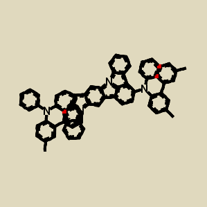 Cc1cccc(-c2cc(C)ccc2N(c2ccccc2)c2ccc3c4cc5c(cc4n4c6ccccc6c2c34)c2ccc(N(c3ccccc3)c3ccc(C)cc3-c3cccc(C)c3)c3c4ccccc4n5c23)c1